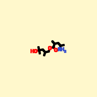 CC(N)CC(C)C(=O)OCC(C)CC(C)(C)O